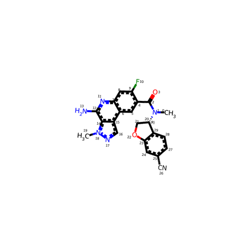 CN(C(=O)c1cc2c(cc1F)nc(N)c1c2cnn1C)[C@H]1COc2cc(C#N)ccc21